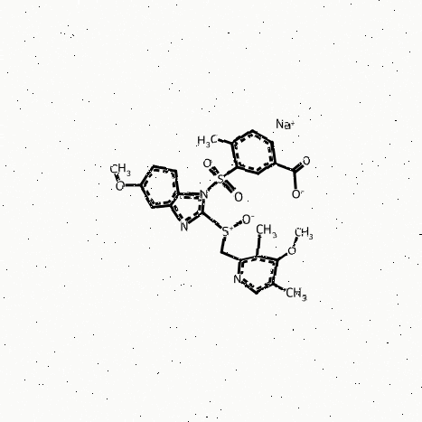 COc1ccc2c(c1)nc([S+]([O-])Cc1ncc(C)c(OC)c1C)n2S(=O)(=O)c1cc(C(=O)[O-])ccc1C.[Na+]